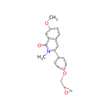 COc1ccc2cc(-c3ccc(OCC4CO4)cc3)n(C)c(=O)c2c1